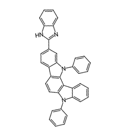 c1ccc(-n2c3ccccc3c3c2ccc2c4ccc(-c5nc6ccccc6[nH]5)cc4n(-c4ccccc4)c23)cc1